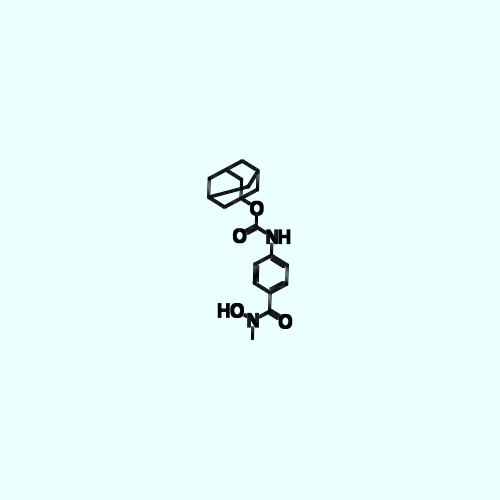 CN(O)C(=O)c1ccc(NC(=O)OC23CC4CC(CC(C4)C2)C3)cc1